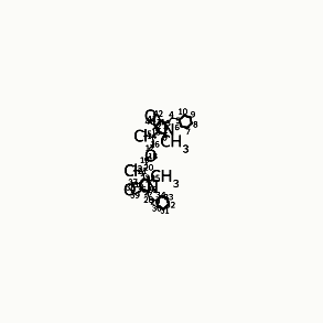 Cc1nc(Cc2ccccc2)c2c(c1C(Cl)CCOCCC(Cl)c1c(C)nc(Cc3ccccc3)c3c1COC3)COC2